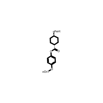 CCCCCCCCOc1ccc(OC(=O)[C@H]2CC[C@H](CCCCC)CC2)cc1